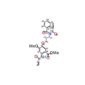 C#CC(=O)Nc1cc(OC)c(OCCCN(C(=O)C#C)C(=O)c2ccccc2)cc1C(=O)OC